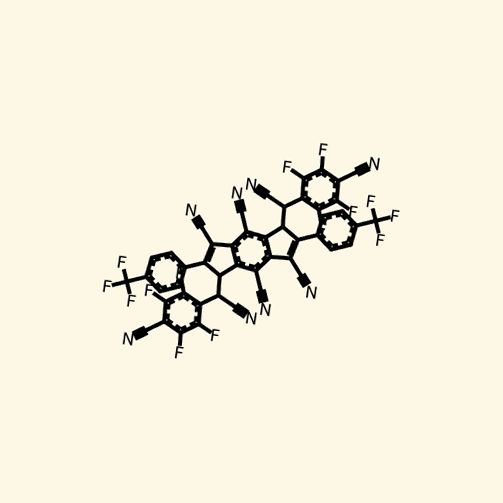 N#CC1=C(c2ccc(C(F)(F)F)cc2)C(C(C#N)c2c(F)c(F)c(C#N)c(F)c2F)c2c(C#N)c3c(c(C#N)c21)C(C(C#N)c1c(F)c(F)c(C#N)c(F)c1F)C(c1ccc(C(F)(F)F)cc1)=C3C#N